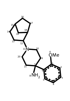 COc1ccccc1C1(N)CCN(C2CCC3CCC2C3)CC1